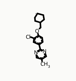 Cc1cnc(-c2ccc(OCC3CC[CH]CC3)c(Cl)c2)nc1